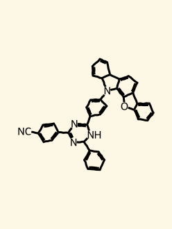 N#Cc1ccc(C2=NC(c3ccccc3)NC(c3ccc(N4c5c(ccc6c5oc5ccccc56)C5C=CC=CC54)cc3)=N2)cc1